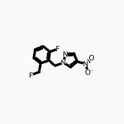 O=[N+]([O-])c1cnn(Cc2c(F)cccc2CF)c1